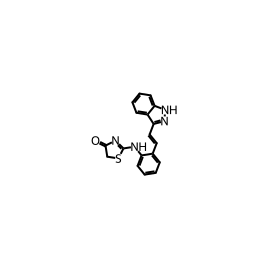 O=C1CSC(Nc2ccccc2C=Cc2n[nH]c3ccccc23)=N1